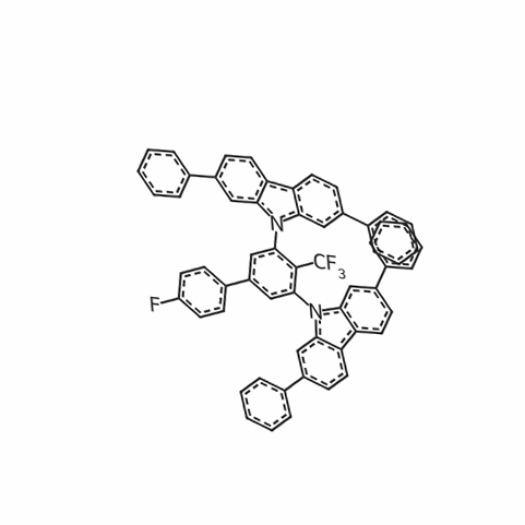 Fc1ccc(-c2cc(-n3c4cc(-c5ccccc5)ccc4c4ccc(-c5ccccc5)cc43)c(C(F)(F)F)c(-n3c4cc(-c5ccccc5)ccc4c4ccc(-c5ccccc5)cc43)c2)cc1